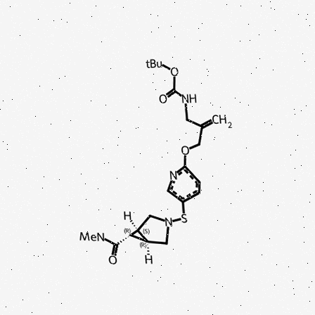 C=C(CNC(=O)OC(C)(C)C)COc1ccc(SN2C[C@@H]3[C@H](C2)[C@H]3C(=O)NC)cn1